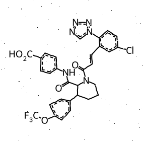 O=C(O)c1ccc(NC(=O)C2C(c3ccc(OC(F)(F)F)cc3)CCCN2C(=O)/C=C/c2cc(Cl)ccc2-n2cnnn2)cc1